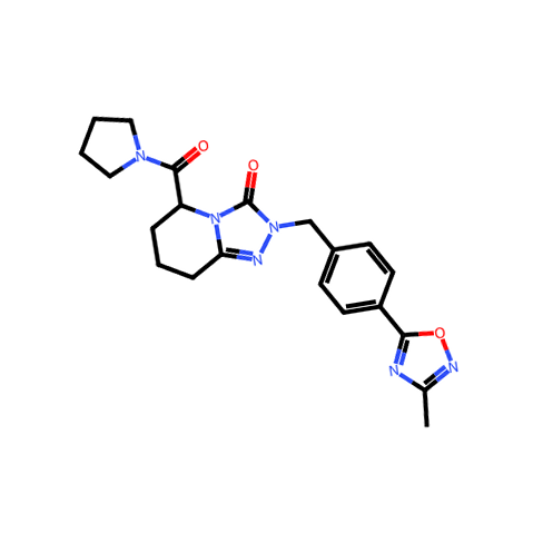 Cc1noc(-c2ccc(Cn3nc4n(c3=O)C(C(=O)N3CCCC3)CCC4)cc2)n1